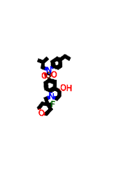 CCc1ccc(N(CC(C)C)S(=O)(=O)c2ccc3c(c2)C(O)CCN3CC2(F)CCOCC2)cc1